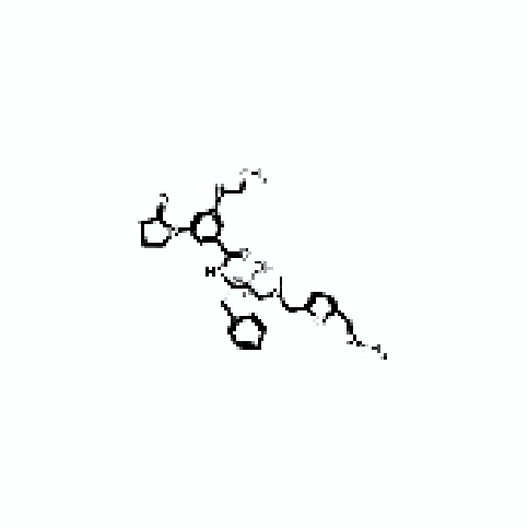 CCNc1cc(C(=O)N[C@@H](Cc2ccccc2)[C@H](O)CNCc2ccc(COC)o2)cc(N2CCCC2=O)c1